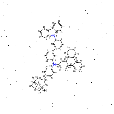 c1cc(-c2cccc(-n3c4ccccc4c4ccccc43)c2)cc(N(c2ccc(C34C[C@@H]5CC6C[C@@H](C3)C65C4)cc2)c2ccc3c4ccccc4c4ccccc4c3c2)c1